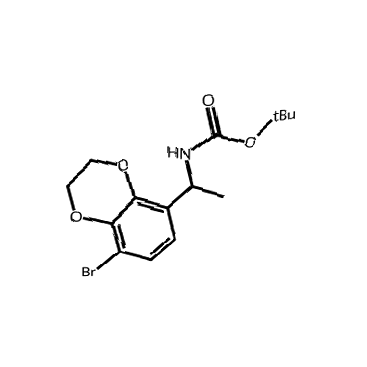 CC(NC(=O)OC(C)(C)C)c1ccc(Br)c2c1OCCO2